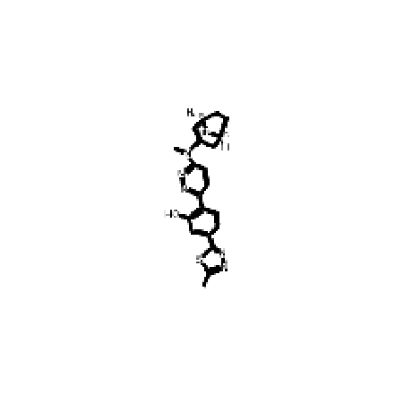 Cc1nnc(-c2ccc(-c3ccc(N(C)C4C[C@H]5CC[C@@H](C4)N5)nn3)c(O)c2)s1